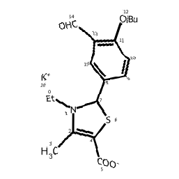 CCN1C(C)=C(C(=O)[O-])SC1c1ccc(OCC(C)C)c(C=O)c1.[K+]